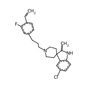 C=Cc1ccc(CCCN2CCC3(CC2)C(=C)Nc2ccc(Cl)cc23)cc1F